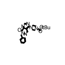 CC(C)(C)OC(=O)N1CCN(c2ncnc3c(=O)n(Cc4ccccc4)ncc23)CC1